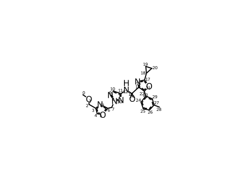 COCc1coc(Cn2ncc(NC(=O)c3nc(C4CC4)oc3-c3cccc(C)c3)n2)n1